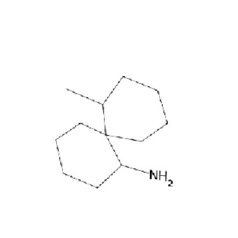 CC1CCCCC12CCCCC2N